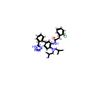 CC(C)CN(CC(C)C)c1ccc(-c2ccccc2-c2nnn[nH]2)cc1NC(=O)Cc1ccccc1Cl